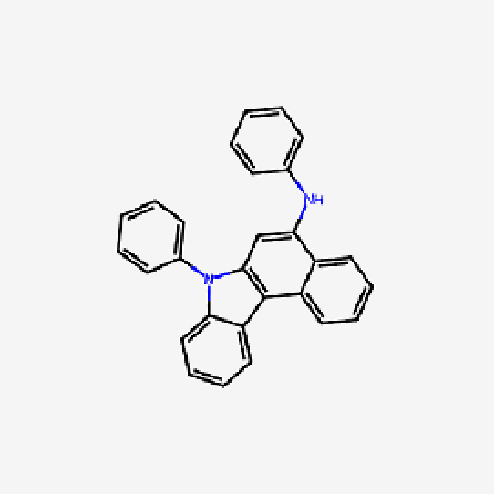 c1ccc(Nc2cc3c(c4ccccc24)c2ccccc2n3-c2ccccc2)cc1